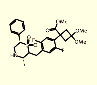 COC(=O)C1(c2cc(F)c(CC3[C@H](C)NC[C@@H](c4ccccc4)S3(=O)=O)cc2F)CC(OC)(OC)C1